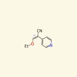 CCO/C=C(/C#N)c1ccncc1